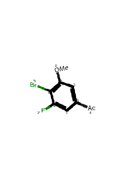 COc1cc(C(C)=O)cc(F)c1Br